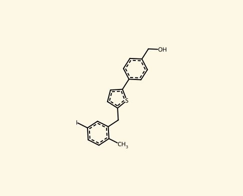 Cc1ccc(I)cc1Cc1ccc(-c2ccc(CO)cc2)s1